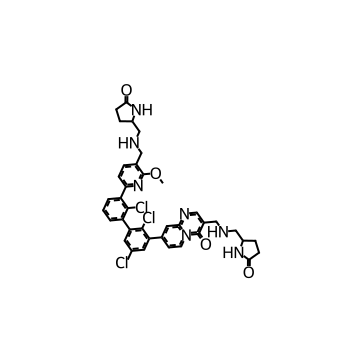 COc1nc(-c2cccc(-c3cc(Cl)cc(-c4ccn5c(=O)c(CNCC6CCC(=O)N6)cnc5c4)c3Cl)c2Cl)ccc1CNCC1CCC(=O)N1